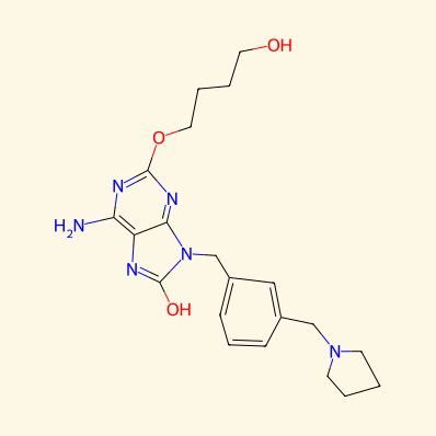 Nc1nc(OCCCCO)nc2c1nc(O)n2Cc1cccc(CN2CCCC2)c1